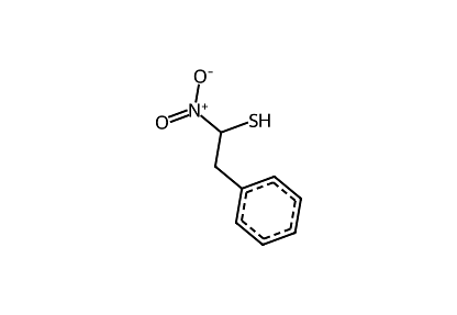 O=[N+]([O-])C(S)Cc1ccccc1